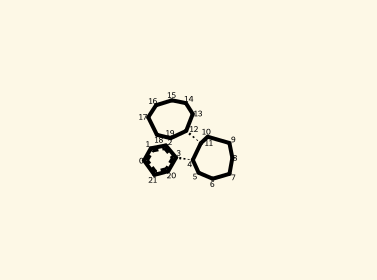 c1ccc([C@H]2CCCCCC[C@H]2C2CCCCCCC2)cc1